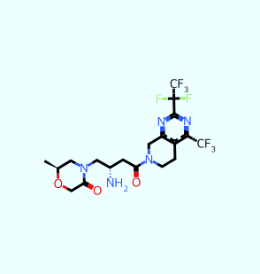 C[C@H]1CN(C[C@@H](N)CC(=O)N2CCc3c(nc(C(F)(F)C(F)(F)F)nc3C(F)(F)F)C2)C(=O)CO1